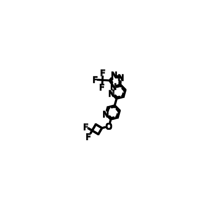 FC1(F)CC(Oc2ccc(-c3ccc4nnc(C(F)(F)F)n4n3)cn2)C1